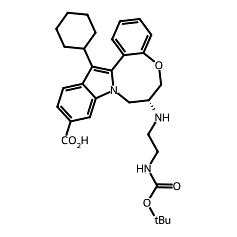 CC(C)(C)OC(=O)NCCN[C@H]1COc2ccccc2-c2c(C3CCCCC3)c3ccc(C(=O)O)cc3n2C1